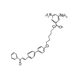 Nc1cc(N)cc(C(=O)OCCCCCCOc2ccc(-c3ccc(C=CC(=O)c4ccccc4)cc3)cc2)c1